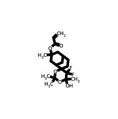 C=CC(=O)OC1(C)CC2CCC3(OC(C)(C)OC(C)(O)C3(F)F)C(C2)C1